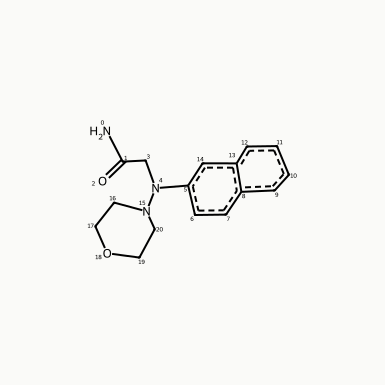 NC(=O)CN(c1ccc2ccccc2c1)N1CCOCC1